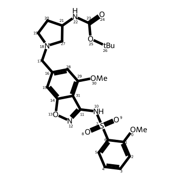 COc1ccccc1S(=O)(=O)Nc1noc2cc(CN3CCC(NC(=O)OC(C)(C)C)C3)cc(OC)c12